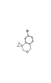 Brc1ccc2c(c1)C1(CC1)COC2